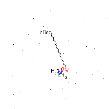 CCCCCCCCCCCCCCCCCCC=CCCCCCCCC(=O)OCN(C)C